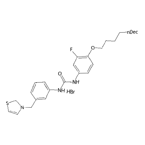 Br.CCCCCCCCCCCCCCOc1ccc(NC(=O)Nc2cccc(CN3C=CSC3)c2)cc1F